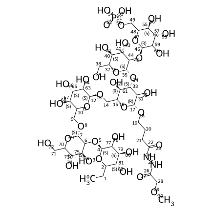 CCC1O[C@@H](OC2[C@@H](OCC3O[C@H](OCC4O[C@@H](OCCCC(=O)NNC(=O)COC)C(O)[C@@H](O[C@@H]5OC(CO)[C@@H](O)[C@H](O)C5O[C@H]5OC(COP(=O)(O)O)[C@@H](O)[C@H](O)C5O)[C@@H]4O)C(O)[C@@H](O)[C@@H]3O)OC(CO)[C@@H](O)[C@@H]2O)C(O)[C@@H](O)[C@@H]1O